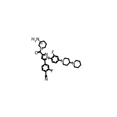 N#Cc1ccc(-c2cc(C(=O)N3CCC[C@@H](N)C3)nn2-c2ccc(N3CCC(N4CCCCC4)CC3)cc2F)cc1F